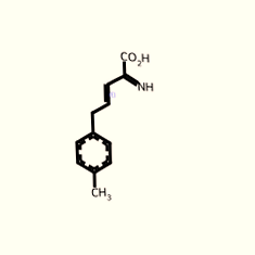 Cc1ccc(C/C=C/C(=N)C(=O)O)cc1